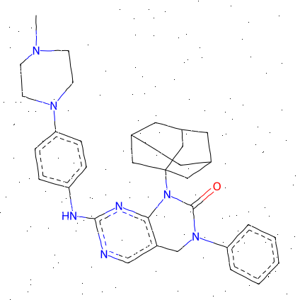 CN1CCN(c2ccc(Nc3ncc4c(n3)N(C35CC6CC(CC(C6)C3)C5)C(=O)N(c3ccccc3)C4)cc2)CC1